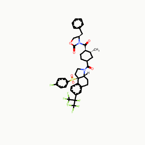 C[C@@H]1CC(C(=O)N2CC[C@@]3(S(=O)(=O)c4ccc(F)cc4)c4ccc(C(F)(C(F)(F)F)C(F)(F)F)cc4CC[C@@H]23)CC[C@H]1C(=O)N1C(=O)OC[C@H]1Cc1ccccc1